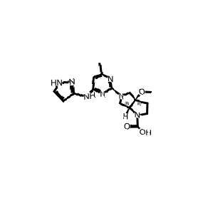 CO[C@@]12CCN(C(=O)O)[C@@H]1CN(c1nc(C)cc(Nc3cc[nH]n3)n1)C2